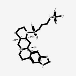 CCS(=O)(=O)NCCCS(=O)(=O)N1CCC[C@@H]2CN3CCc4cc5c(cc4[C@@H]3C[C@@H]21)OCO5